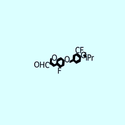 CC(C)Oc1ccc(COc2cc(F)c3c(c2)OCC(C=O)=C3)cc1C(F)(F)F